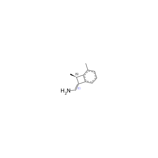 Cc1cccc2c1[C@H](C)/C2=C\N